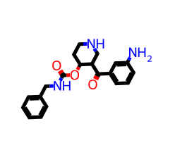 Nc1cccc(C(=O)C2CNCCC2OC(=O)NCc2ccccc2)c1